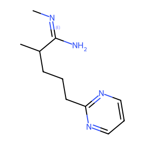 C/N=C(/N)C(C)CCCc1ncccn1